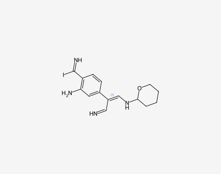 N=C/C(=C\NC1CCCCO1)c1ccc(C(=N)I)c(N)c1